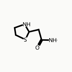 [NH]C(=O)CC1NCCS1